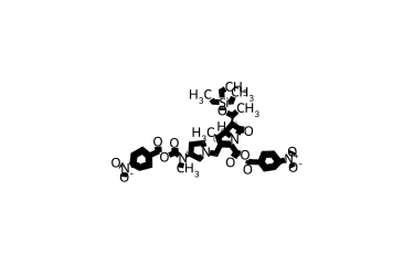 CC[Si](CC)(CC)OC(C)[C@H]1C(=O)N2C(C(=O)OC(=O)c3ccc([N+](=O)[O-])cc3)=C(CN3CC[C@H](N(C)C(=O)OC(=O)c4ccc([N+](=O)[O-])cc4)C3)[C@H](C)[C@H]12